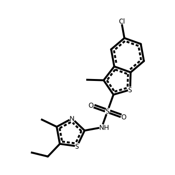 CCc1sc(NS(=O)(=O)c2sc3ccc(Cl)cc3c2C)nc1C